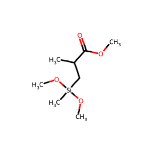 COC(=O)C(C)C[Si](C)(OC)OC